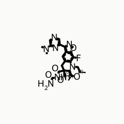 C[C@@H]1CN2c3c(cc4c(-c5cncc(N(C)C)n5)noc4c3F)CC(C=O)(C(=O)NC(N)=O)[C@H]2[C@H](C)O1